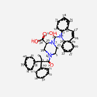 CC(C(=O)N1CCN(C(O)N2c3ccccc3C=Cc3ccccc32)[C@H](C(=O)O)C1)(c1ccccc1)c1ccccc1